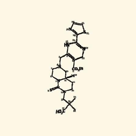 CCOC(=O)C1=C(CN2CCN3C(=S)N(CC(C)(C)C(=O)O)CC[C@H]3C2)NC(c2nccs2)=NC1